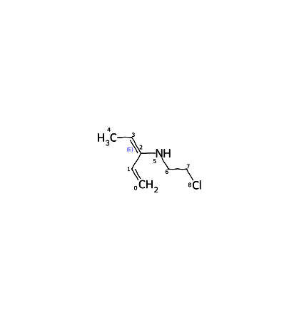 C=C/C(=C\C)NCCCl